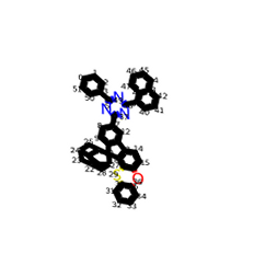 c1ccc(-c2nc(-c3ccc4c(c3)-c3ccc5c(c3C43C4CC6CC(C4)CC3C6)Sc3ccccc3O5)nc(-c3cccc4ccccc34)n2)cc1